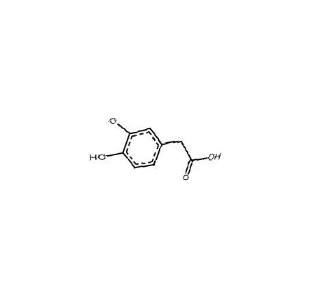 [O]c1cc(CC(=O)O)ccc1O